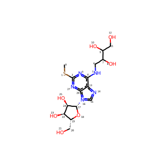 CSc1nc(NCC(O)C(O)CO)c2ncn([C@@H]3O[C@H](CO)[C@@H](O)[C@H]3O)c2n1